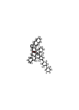 c1ccc(-c2ccc(-c3ccc(N(c4ccccc4-c4cccc5oc6cc7ccccc7cc6c45)c4cccc5c4ccc4ccccc45)cc3)cc2)cc1